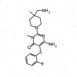 Cn1c(N2CCC(C)(CN)CC2)nc(N)c(Sc2ccccc2F)c1=O